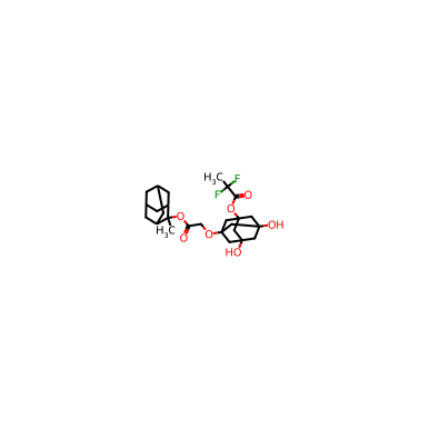 CC(F)(F)C(=O)OC12CC3(O)CC(O)(CC(OCC(=O)OC4(C)C5CC6CC(C5)CC4C6)(C3)C1)C2